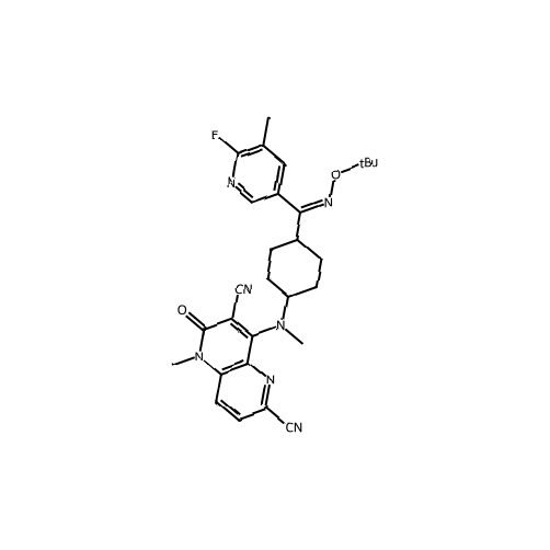 Cc1cc(/C(=N\OC(C)(C)C)C2CCC(N(C)c3c(C#N)c(=O)n(C)c4ccc(C#N)nc34)CC2)cnc1F